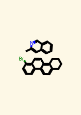 Brc1cccc2c1ccc1c3c(ccc12)CCCC3.Cc1cc2ccccc2cn1